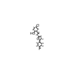 Oc1ccc(Cl)cc1/N=C/c1ccc(-c2ccc(F)cc2)o1